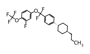 CCC[C@H]1CC[C@H](c2ccc(C(F)(F)Oc3ccc(OC(F)(F)F)c(F)c3)cc2)CC1